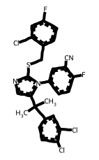 CC(C)(c1ccc(Cl)c(Cl)c1)c1cnc(SCc2ccc(F)cc2Cl)n1-c1ccc(F)c(C#N)c1